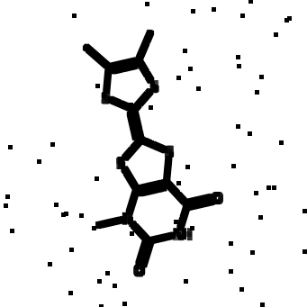 CC1=C(C)SC(=C2Sc3c(n(C)c(=O)[nH]c3=O)S2)S1